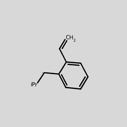 C=Cc1ccccc1[CH]C(C)C